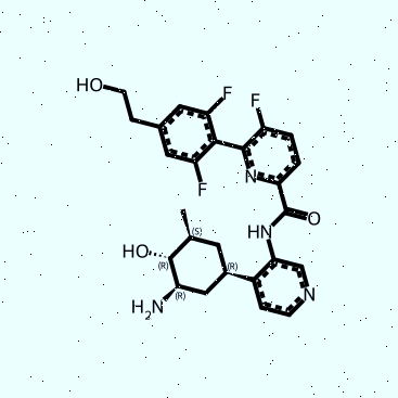 C[C@H]1C[C@@H](c2ccncc2NC(=O)c2ccc(F)c(-c3c(F)cc(CCO)cc3F)n2)C[C@@H](N)[C@@H]1O